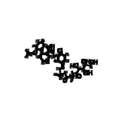 CN(C[C@H](O)[C@@H](O)[C@H](O)[C@H](O)CO)C(=O)CC1(CSc2ccc(Cl)c(CNC3(c4cnccc4-c4ccccc4OC4CC4)CC3)c2)CC1